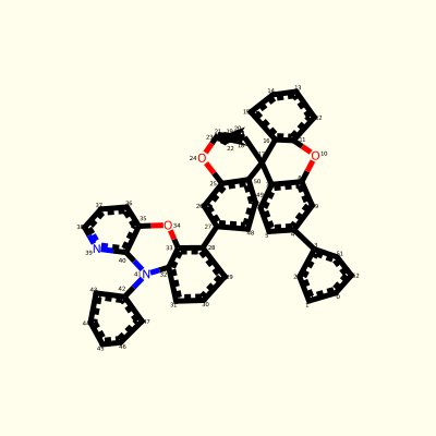 c1ccc(-c2ccc3c(c2)Oc2ccccc2C32c3ccccc3Oc3cc(-c4cccc5c4Oc4cccnc4N5c4ccccc4)ccc32)cc1